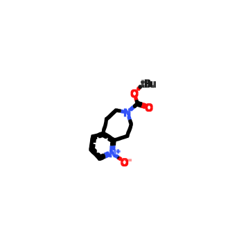 CC(C)(C)OC(=O)N1CCc2ccc[n+]([O-])c2CC1